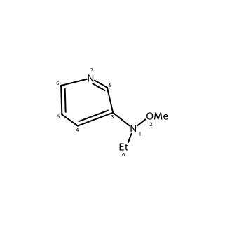 CCN(OC)c1cccnc1